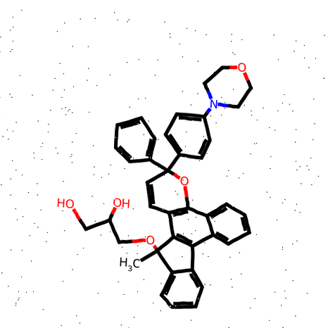 CC1(OCC(O)CO)c2ccccc2-c2c1c1c(c3ccccc23)OC(c2ccccc2)(c2ccc(N3CCOCC3)cc2)C=C1